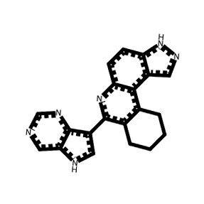 c1ncc2[nH]cc(-c3nc4ccc5[nH]ncc5c4c4c3CCCC4)c2n1